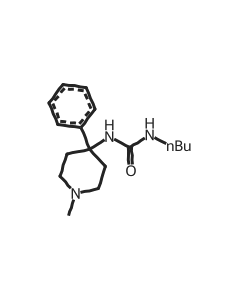 CCCCNC(=O)NC1(c2ccccc2)CCN(C)CC1